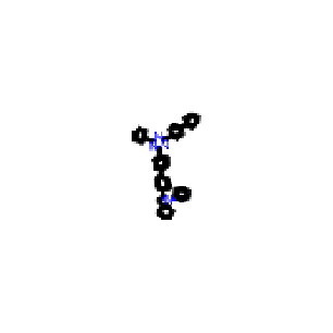 c1ccc(-c2ccc(-c3nc(-c4ccccc4)nc(-c4ccc(-c5ccc(C6Cc7ccccc7N6c6ccccc6)cc5)cc4)n3)cc2)cc1